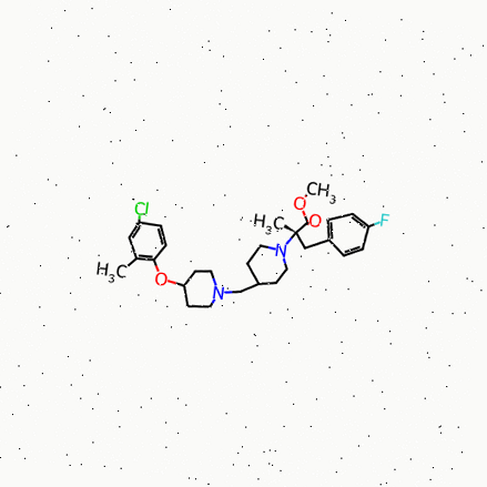 COC(=O)[C@](C)(Cc1ccc(F)cc1)N1CCC(CN2CCC(Oc3ccc(Cl)cc3C)CC2)CC1